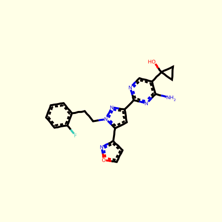 Nc1nc(-c2cc(-c3ccon3)n(CCc3ccccc3F)n2)ncc1C1(O)CC1